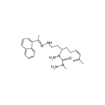 C=C(C)/C=C\CCC(CCNN=C(C)c1cccc2ccccc12)N(N)C(=O)N(C)N